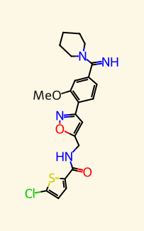 COc1cc(C(=N)N2CCCCC2)ccc1-c1cc(CNC(=O)c2ccc(Cl)s2)on1